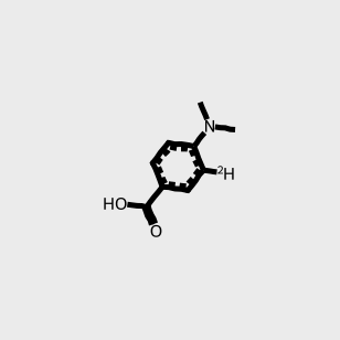 [2H]c1cc(C(=O)O)ccc1N(C)C